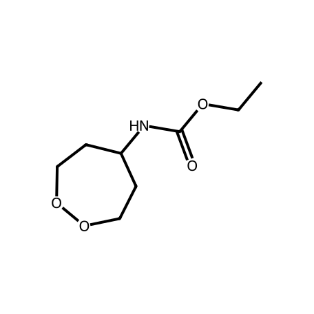 CCOC(=O)NC1CCOOCC1